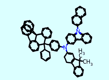 CC1(C)C2=C(CCC(N(c3ccc(C4(C5C=CC=CC5)c5ccccc5C5(c6ccccc6)c6ccccc6-c6cccc4c65)cc3)c3ccc4c(c3)c3ccccc3n4-c3ccc4ccccc4c3)=C2)c2ccccc21